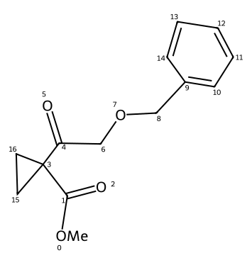 COC(=O)C1(C(=O)COCc2ccccc2)CC1